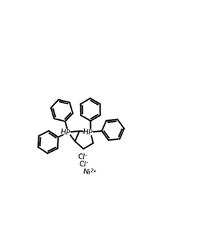 [Cl-].[Cl-].[Ni+2].c1ccc([PH]2(c3ccccc3)CCC3C2[PH]3(c2ccccc2)c2ccccc2)cc1